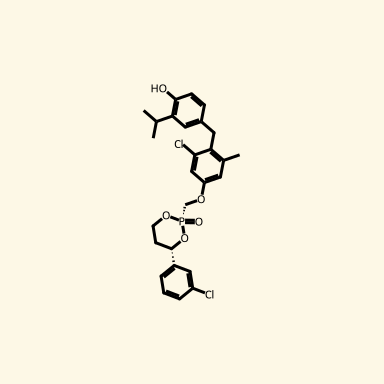 Cc1cc(OC[P@@]2(=O)OCC[C@@H](c3cccc(Cl)c3)O2)cc(Cl)c1Cc1ccc(O)c(C(C)C)c1